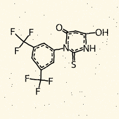 O=c1cc(O)[nH]c(=S)n1-c1cc(C(F)(F)F)cc(C(F)(F)F)c1